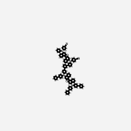 N#Cc1ccc(N(c2ccccc2)c2cc3oc4cc(N(c5ccc(C#N)cc5)c5cccc(-c6cccc(-c7ccc(N(c8ccc(-c9ccccc9)cc8)c8cc9oc%10cc(N(c%11ccc(-c%12ccccc%12)cc%11)c%11ccc(-c%12ccccc%12)cc%11)c%11ccccc%11c%10c9c9ccccc89)cc7)c6)c5)c5ccccc5c4c3c3ccccc23)cc1